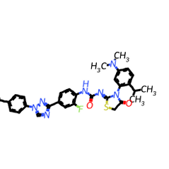 CC(C)c1ccc(N(C)C)cc1N1C(=O)CSC1=NC(=O)Nc1ccc(-c2ncn(-c3ccc(C#N)cc3)n2)cc1F